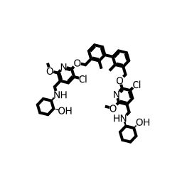 COc1nc(OCc2cccc(-c3cccc(COc4nc(OC)c(CN[C@@H]5CCCC[C@H]5O)cc4Cl)c3C)c2C)c(Cl)cc1CN[C@@H]1CCCC[C@H]1O